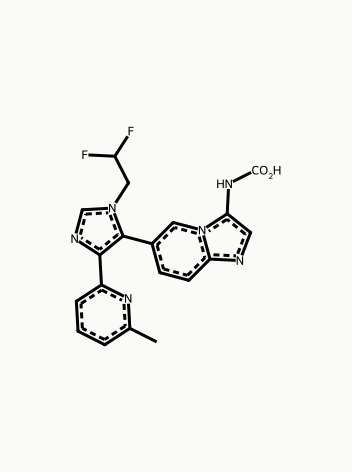 Cc1cccc(-c2ncn(CC(F)F)c2-c2ccc3ncc(NC(=O)O)n3c2)n1